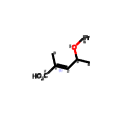 C/C(=C\C(C)OC(C)C)C(=O)O